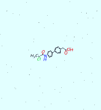 CC(Cl)C(=O)Nc1ccc(-c2ccc(CC(=O)O)cc2)cc1